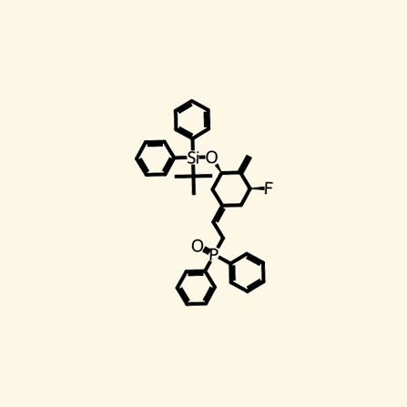 C=C1[C@@H](F)C/C(=C\CP(=O)(c2ccccc2)c2ccccc2)C[C@H]1O[Si](c1ccccc1)(c1ccccc1)C(C)(C)C